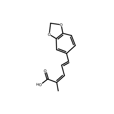 CC(=CC=Cc1ccc2c(c1)OCO2)C(=O)O